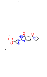 O=C(O)c1cnn(-c2nc3ccc(C(=O)N4CCCC4)cc3c(=O)[nH]2)c1